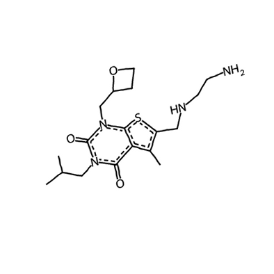 Cc1c(CNCCN)sc2c1c(=O)n(CC(C)C)c(=O)n2CC1CCO1